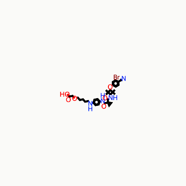 CC1(C)C(NC(=O)C2(C(=O)Nc3ccc(NCCCCCOCC(=O)O)cc3)CC2)C(C)(C)C1Oc1ccc(C#N)c(Br)c1